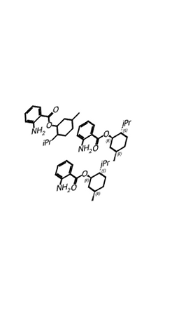 CC(C)[C@@H]1CC[C@@H](C)C[C@H]1OC(=O)c1ccccc1N.CC(C)[C@@H]1CC[C@@H](C)C[C@H]1OC(=O)c1ccccc1N.CC1CCC(C(C)C)C(OC(=O)c2ccccc2N)C1